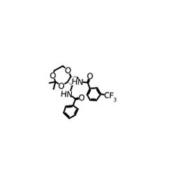 CC1(C)OCCO[C@H](CNC(=O)c2cccc(C(F)(F)F)c2)[C@H](CNC(=O)c2ccccc2)O1